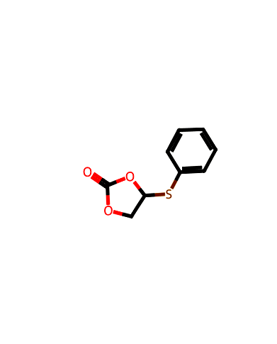 O=C1OCC(Sc2ccccc2)O1